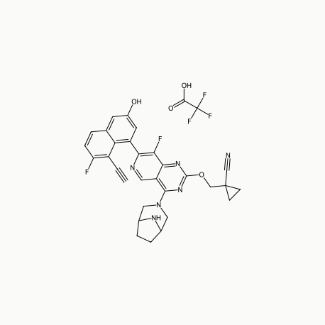 C#Cc1c(F)ccc2cc(O)cc(-c3ncc4c(N5CC6CCC(C5)N6)nc(OCC5(C#N)CC5)nc4c3F)c12.O=C(O)C(F)(F)F